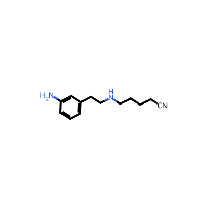 N#CCCCCNCCc1cccc(N)c1